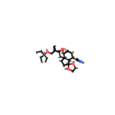 C=C(CO[Si](CC)(CC)CC)C(O)CC12CCCC(C#N)C1C1(CC2)OCCO1